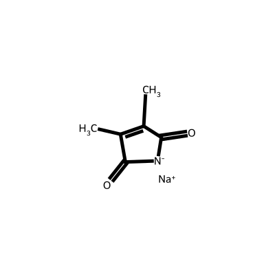 CC1=C(C)C(=O)[N-]C1=O.[Na+]